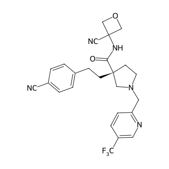 N#Cc1ccc(CC[C@@]2(C(=O)NC3(C#N)COC3)CCN(Cc3ccc(C(F)(F)F)cn3)C2)cc1